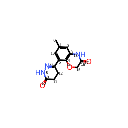 Cc1cc2c(c(C3=NNC(=O)CC3)c1)OCC(=O)N2